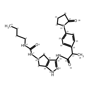 CCCCNC(=O)NN1Cc2[nH]nc(NC(=O)C(C)c3ccc(N4CCCC4=O)cc3)c2C1